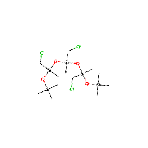 C[Si](C)(C)O[Si](C)(CCl)O[Si](C)(CCl)O[Si](C)(CCl)O[Si](C)(C)C